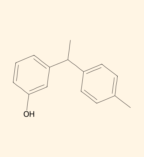 Cc1ccc(C(C)c2cccc(O)c2)cc1